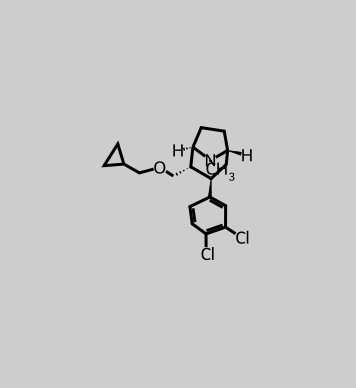 CN1[C@@H]2CC[C@@H]1[C@@H](COCC1CC1)[C@H](c1ccc(Cl)c(Cl)c1)C2